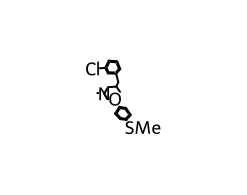 CSc1ccc(OCC(Cc2cccc(Cl)c2)CN(C)C)cc1